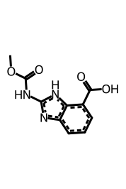 COC(=O)Nc1nc2cccc(C(=O)O)c2[nH]1